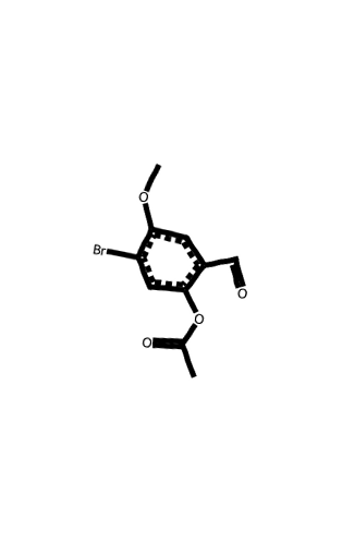 COc1cc(C=O)c(OC(C)=O)cc1Br